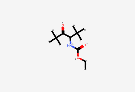 CCOC(=O)NC(C(=O)C(C)(C)C)C(C)(C)C